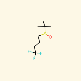 CC(C)(C)[S+]([O-])CCCC(F)(F)F